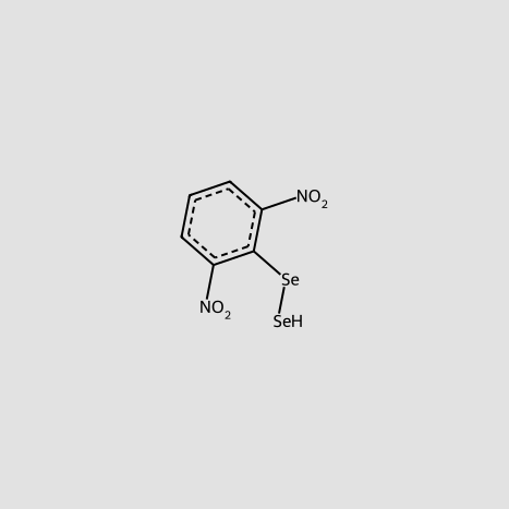 O=[N+]([O-])c1cccc([N+](=O)[O-])c1[Se][SeH]